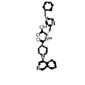 O=C(N[C@@H](Cc1cn(Cc2ccccc2)cn1)C(=O)O)C1CCN(c2cncc3ccccc23)CC1